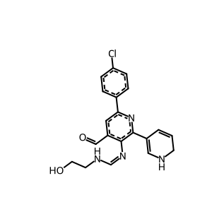 O=Cc1cc(-c2ccc(Cl)cc2)nc(C2=CNCC=C2)c1/N=C\NCCO